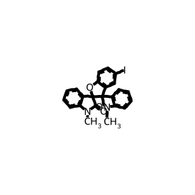 CN1C(=O)C2(Oc3ccc(I)cc3C23C(=O)N(C)c2ccccc23)c2ccccc21